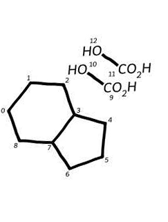 C1CCC2CCCC2C1.O=C(O)O.O=C(O)O